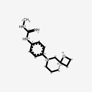 CNC(=N)Nc1ccc(N2CCC[C@]3(CCO3)C2)cc1